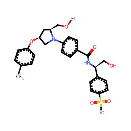 CCOC[C@@H]1C[C@H](Oc2ccc(C(F)(F)F)cc2)CN1c1ccc(C(=O)N[C@@H](CO)c2ccc(S(=O)(=O)CC)cc2)cc1